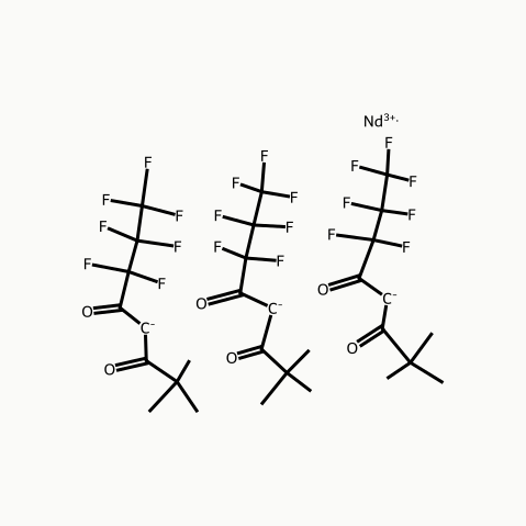 CC(C)(C)C(=O)[CH-]C(=O)C(F)(F)C(F)(F)C(F)(F)F.CC(C)(C)C(=O)[CH-]C(=O)C(F)(F)C(F)(F)C(F)(F)F.CC(C)(C)C(=O)[CH-]C(=O)C(F)(F)C(F)(F)C(F)(F)F.[Nd+3]